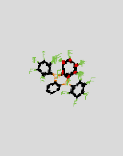 Fc1c(F)c(F)c(P(c2ccccc2P(c2c(F)c(F)c(F)c(F)c2F)c2c(F)c(F)c(F)c(F)c2F)c2c(F)c(F)c(F)c(F)c2F)c(F)c1F